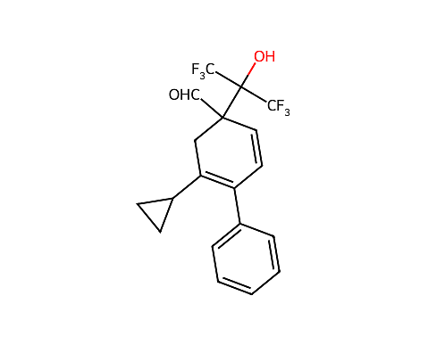 O=CC1(C(O)(C(F)(F)F)C(F)(F)F)C=CC(c2ccccc2)=C(C2CC2)C1